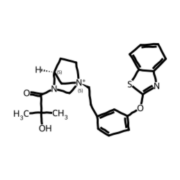 CC(C)(O)C(=O)N1C[N@@+]2(CCc3cccc(Oc4nc5ccccc5s4)c3)CC[C@H]1C2